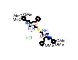 COc1cc(-c2cc3n(n2)CCN(C(=O)[C@@H](N)CSSC[C@H](N)C(=O)N2CCn4nc(-c5cc(OC)c(OC)c(OC)c5)cc4C2CCc2ccccc2)C3CCc2ccccc2)cc(OC)c1OC.Cl